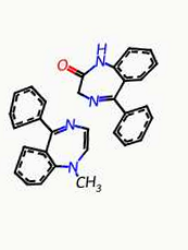 CN1C=CN=C(c2ccccc2)c2ccccc21.O=C1CN=C(c2ccccc2)c2ccccc2N1